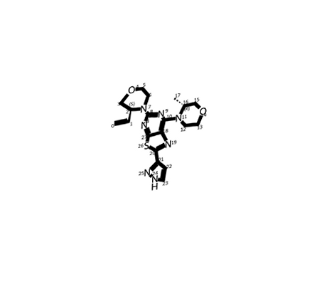 C=C[C@H]1COCCN1c1nc(N2CCOC[C@H]2C)c2nc(-c3cc[nH]n3)sc2n1